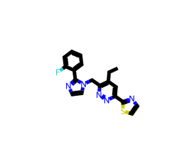 CCc1cc(-c2nccs2)nnc1Cn1ccnc1-c1ccccc1F